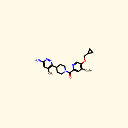 COc1cc(C(=O)N2CCC(c3nnc(N)cc3C)CC2)ncc1OCC1CC1